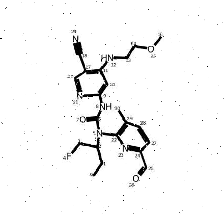 CCC(CF)N(C(=O)Nc1cc(NCCOC)c(C#N)cn1)c1nc(C=O)ccc1C